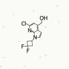 OCc1cc(Cl)nc2c1ccn2C1CC(F)(F)C1